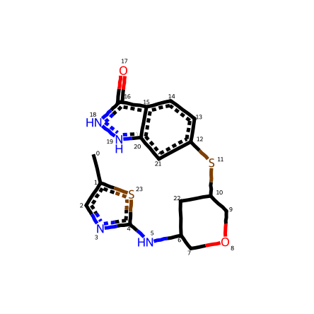 Cc1cnc(NC2COCC(Sc3ccc4c(=O)[nH][nH]c4c3)C2)s1